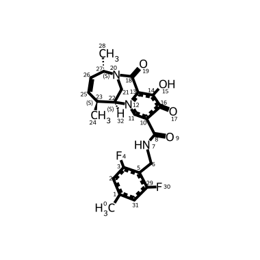 Cc1cc(F)c(CNC(=O)c2cn3c(c(O)c2=O)C(=O)N2C[C@@H]3[C@@H](C)C=C[C@@H]2C)c(F)c1